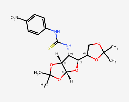 CC1(C)O[C@H]2O[C@H]([C@H]3COC(C)(C)O3)[C@@H](NC(=S)Nc3ccc([N+](=O)[O-])cc3)[C@H]2O1